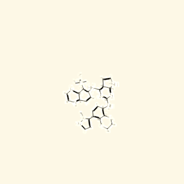 Cn1nccc1-c1ccc(Nc2nc(Nc3ccc4nccnc4c3P(C)(C)=O)c3cc[nH]c3n2)c2c1OCCO2